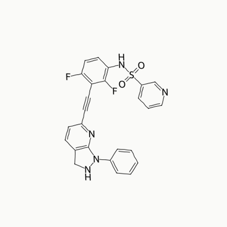 O=S(=O)(Nc1ccc(F)c(C#Cc2ccc3c(n2)N(c2ccccc2)NC3)c1F)c1cccnc1